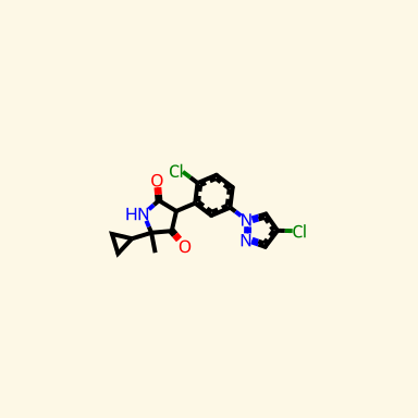 CC1(C2CC2)NC(=O)C(c2cc(-n3cc(Cl)cn3)ccc2Cl)C1=O